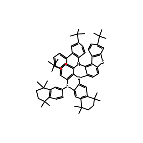 CC(C)(C)c1ccc(N2c3cc(C(C)(C)C)cc4c3B(c3cc5c(cc3N4c3ccc4c(c3)C(C)(C)CCC4(C)C)C(C)(C)CCC5(C)C)c3ccc4sc5cc(C(C)(C)C)ccc5c4c32)c(-c2ccccc2)c1